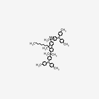 CCCCCCCCC1(C)c2cc(C(C)(C)c3ccc(N(c4ccc(C)cc4)c4ccc(C)cc4)cc3)ccc2-c2ccc(C(C)(N)c3ccc(N(c4ccc(C)cc4)c4ccc(C)cc4)cc3)cc21